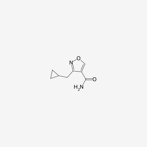 NC(=O)c1conc1CC1CC1